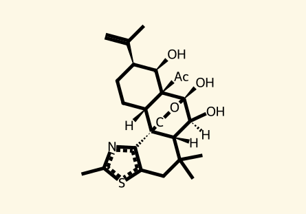 C=C(C)[C@@H]1CC[C@H]2[C@@]34CO[C@@](O)([C@@H](O)[C@@H]3C(C)(C)Cc3sc(C)nc34)[C@@]2(C(C)=O)[C@@H]1O